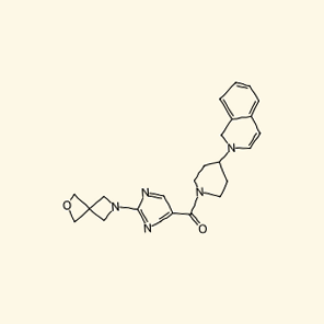 O=C(c1cnc(N2CC3(COC3)C2)nc1)N1CCC(N2C=Cc3ccccc3C2)CC1